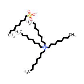 CCCCCCCCS(=O)(=O)[O-].CCCCCCCC[N+](CCCCCCCC)(CCCCCCCC)CCCCCCCC